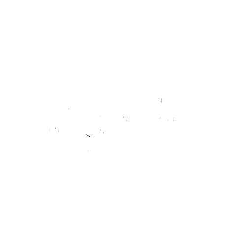 O=C([C@@H]1CCCNC1)N1CCN(c2cc(C(F)(F)F)nc3ccccc23)CC1